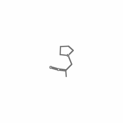 CC(=C=O)CN1CCCC1